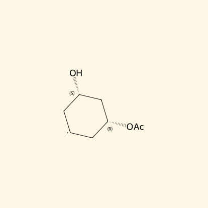 CC(=O)O[C@@H]1C[CH]C[C@H](O)C1